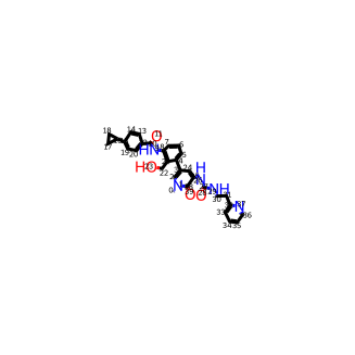 Cn1cc(-c2cccc(NC(=O)c3ccc(C4CC4)cc3)c2CO)cc(NC(=O)NCCc2ccccn2)c1=O